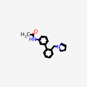 CC(=O)Nc1cccc(-c2ccccc2CN2C=CCC2)c1